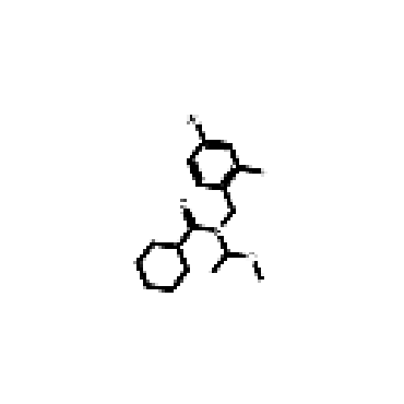 COC(C)N(Cc1ccc(Br)cc1F)C(=O)C1CCCCC1